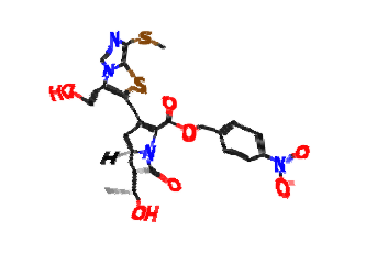 CSc1ncn2c(CO)c(C3=C(C(=O)OCc4ccc([N+](=O)[O-])cc4)N4C(=O)[C@H]([C@@H](C)O)[C@H]4C3)sc12